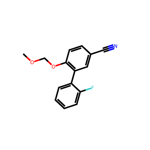 COCOc1ccc(C#N)cc1-c1ccccc1F